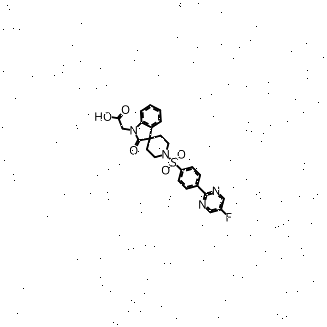 O=C(O)CN1C(=O)C2(CCN(S(=O)(=O)c3ccc(-c4ncc(F)cn4)cc3)CC2)c2ccccc21